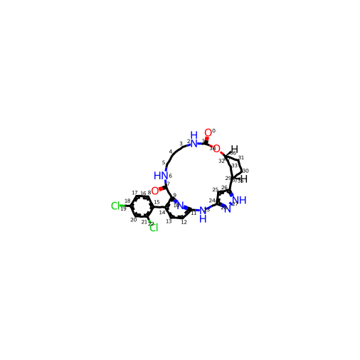 O=C1NCCCNC(=O)c2nc(ccc2-c2ccc(Cl)cc2Cl)Nc2cc([nH]n2)[C@H]2CC[C@H](C2)O1